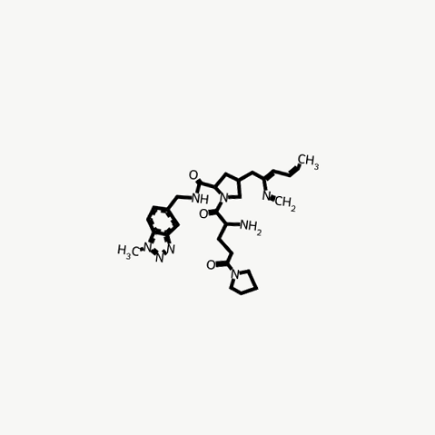 C=N/C(=C\C=C/C)CC1CC(C(=O)NCc2ccc3c(c2)nnn3C)N(C(=O)C(N)CCC(=O)N2CCCC2)C1